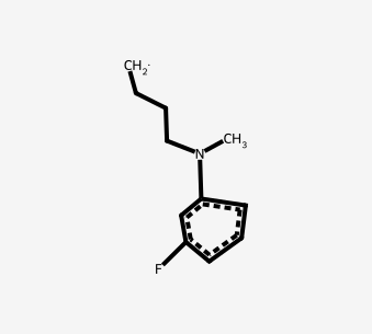 [CH2]CCCN(C)c1cccc(F)c1